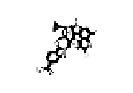 NC(=O)c1ccc2c3n(nc2c1)C[C@@H]1[C@H](CO3)N(CC2CC2)[C@@]2(C(=O)Nc3cc(Cl)ccc32)[C@H]1c1ccnc(Cl)c1F